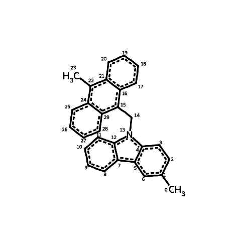 Cc1ccc2c(c1)c1ccccc1n2Cc1c2ccccc2c(C)c2ccccc12